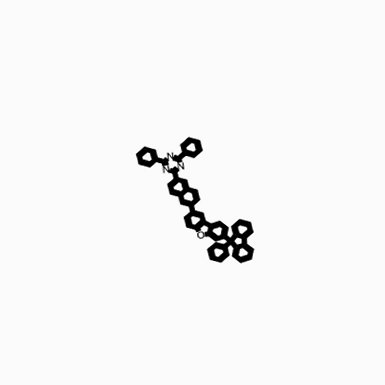 c1ccc(-c2nc(-c3ccccc3)nc(-c3ccc4cc(-c5ccc6oc7cc(C8(c9ccccc9)c9ccccc9-c9ccccc98)ccc7c6c5)ccc4c3)n2)cc1